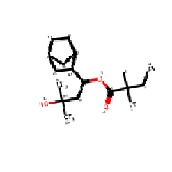 CCC(C)(CC(C)C)C(=O)OC(CC(O)(C(F)(F)F)C(F)(F)F)C1CC2CCC1C2